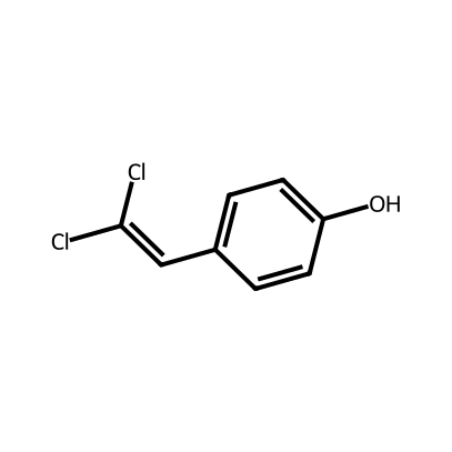 Oc1ccc(C=C(Cl)Cl)cc1